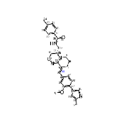 COc1cc(/C=C2\CCCN3C2=NOC[C@@H]3CNC(=O)c2ccc(C)cc2)ccc1-n1cnc(C)c1